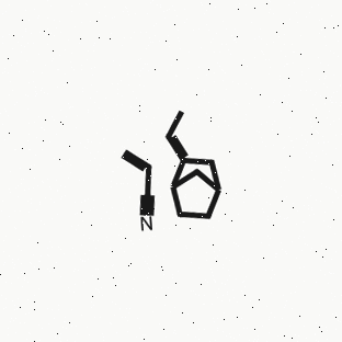 C=CC#N.CC=C1CC2CCC1C2